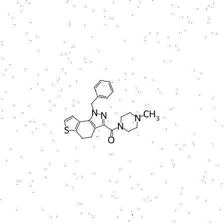 CN1CCN(C(=O)c2nn(Cc3ccccc3)c3c2CCc2sccc2-3)CC1